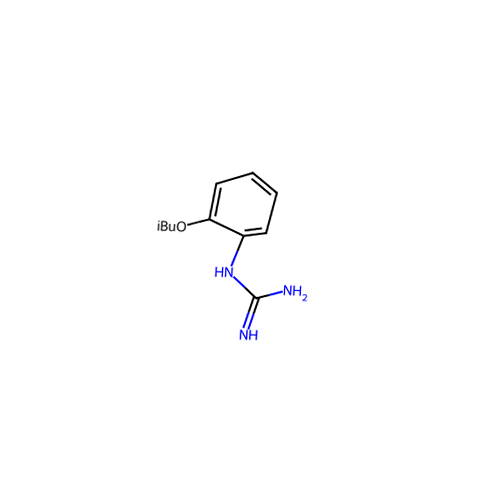 CC(C)COc1ccccc1NC(=N)N